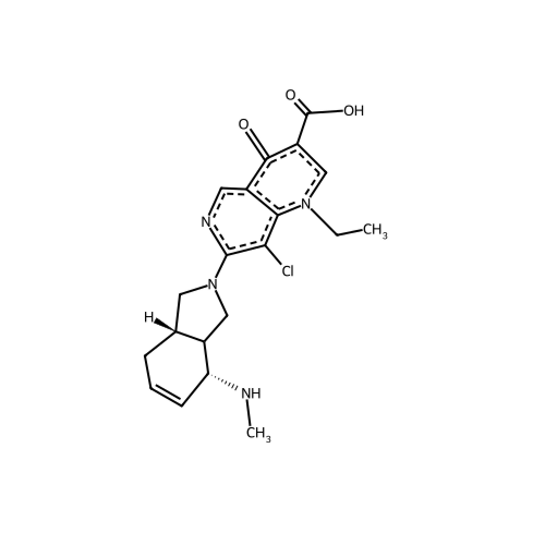 CCn1cc(C(=O)O)c(=O)c2cnc(N3CC4[C@H](CC=C[C@H]4NC)C3)c(Cl)c21